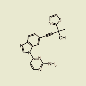 CC(O)(C#Cc1ccc2ncn(-c3ccnc(N)n3)c2c1)c1nccs1